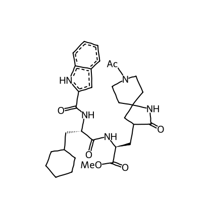 COC(=O)[C@H](CC1CC2(CCN(C(C)=O)CC2)NC1=O)NC(=O)[C@H](CC1CCCCC1)NC(=O)c1cc2ccccc2[nH]1